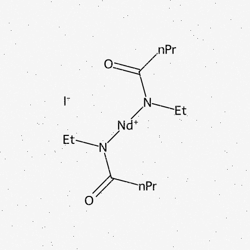 CCCC(=O)[N](CC)[Nd+][N](CC)C(=O)CCC.[I-]